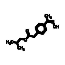 C/C(=N/O)c1ccc(CC(=O)OCC(C)C)cc1